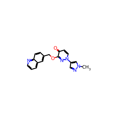 Cn1cc(-n2ccc(=O)c(OCc3ccc4ncccc4c3)n2)cn1